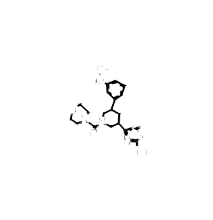 CC(C)c1noc(C2CC(c3cccc(OC(F)(F)F)c3)CN(C(=O)N3CCOCC3)C2)n1